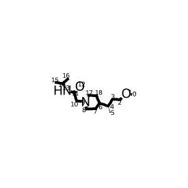 COCC[C@H](C)C1CCN(CC(=O)NC(C)C)CC1